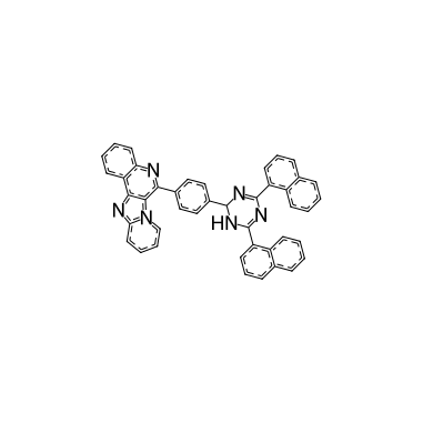 c1ccc2c(C3=NC(c4ccc(-c5nc6ccccc6c6nc7ccccn7c56)cc4)NC(c4cccc5ccccc45)=N3)cccc2c1